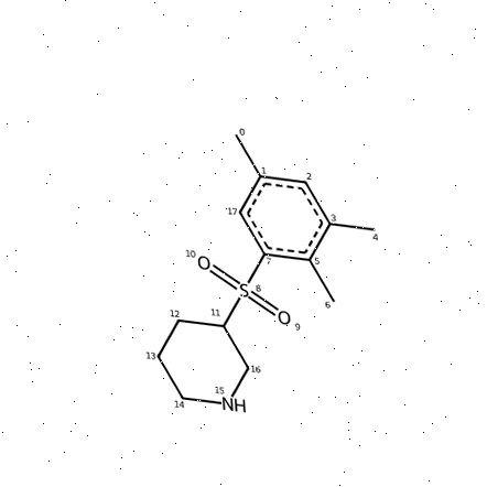 Cc1cc(C)c(C)c(S(=O)(=O)C2CCCNC2)c1